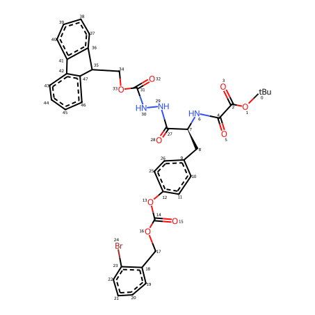 CC(C)(C)OC(=O)C(=O)N[C@@H](Cc1ccc(OC(=O)OCc2ccccc2Br)cc1)C(=O)NNC(=O)OCC1c2ccccc2-c2ccccc21